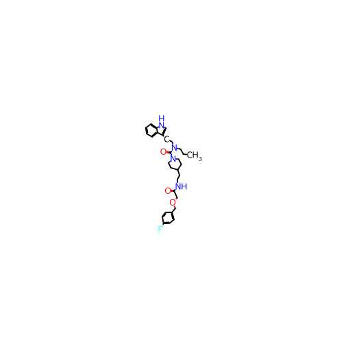 CCCN(CCc1c[nH]c2ccccc12)C(=O)N1CCC(CCNC(=O)COCc2ccc(F)cc2)CC1